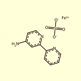 Nc1ccnc(-c2ccccn2)c1.O=S(=O)([O-])[O-].[Fe+2]